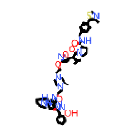 Cc1ncsc1-c1ccc(CNC(=O)[C@@H]2CCCN2C(=O)C(c2cc(OCCN3CCN(CCOc4cc(N5C6CCC5CN(c5cc(-c7ccccc7O)nnc5N)C6)ccn4)[C@H](C)C3)no2)C(C)C)cc1